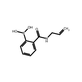 C=CCNC(=O)c1ccccc1B(O)O